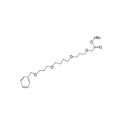 CCCCOC(=O)COCCCOCCCCOCCCOCc1ccccc1